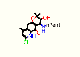 CCCCCNC1C2=C(CC3=C(C)C=C(Cl)NC3C2=O)OC(C)(C)C1O